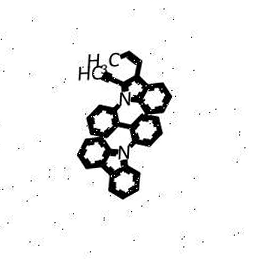 C#Cc1c(/C=C\C)c2ccccc2n1-c1ccccc1-c1ccccc1-n1c2ccccc2c2ccccc21